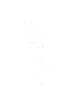 NC(=O)COC(=O)NCC1CCN(c2ccc(-c3ccc(F)cc3)cn2)CC1